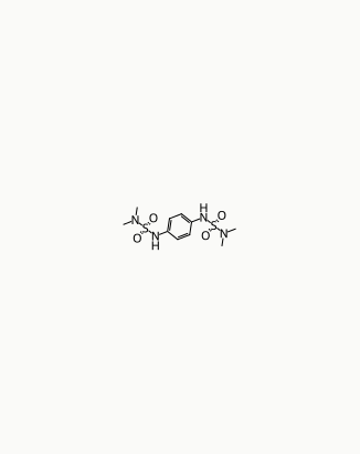 CN(C)S(=O)(=O)Nc1ccc(NS(=O)(=O)N(C)C)cc1